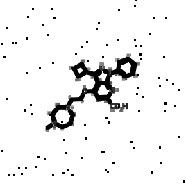 CN1CCCN(CCOc2cc(C(=O)O)nc3c2c(C2CCC2)nn3-c2ccccc2)CC1